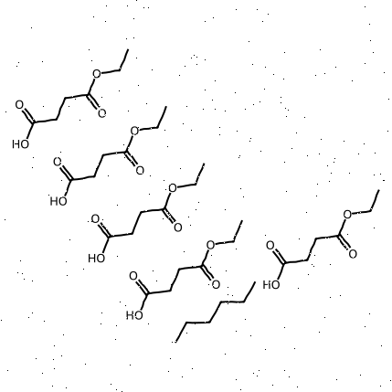 CCCCCC.CCOC(=O)CCC(=O)O.CCOC(=O)CCC(=O)O.CCOC(=O)CCC(=O)O.CCOC(=O)CCC(=O)O.CCOC(=O)CCC(=O)O